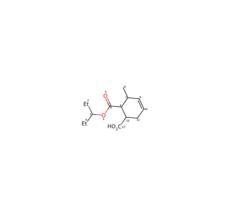 CCC(CC)OC(=O)C1C(C)C=CCC1C(=O)O